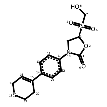 O=C1O[C@H](S(=O)(=O)CO)CN1c1ccc(C2=CCSCC2)cc1